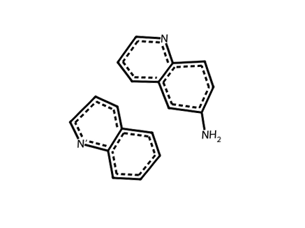 Nc1ccc2ncccc2c1.c1ccc2ncccc2c1